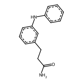 NC(=O)CCc1cccc(Nc2ccccc2)c1